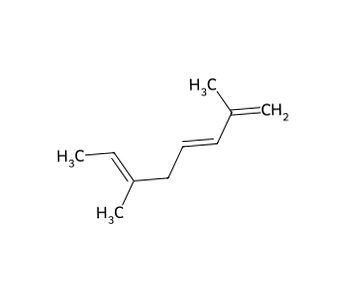 C=C(C)C=CCC(C)=CC